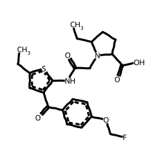 CCc1cc(C(=O)c2ccc(OCF)cc2)c(NC(=O)CN2C(CC)CCC2C(=O)O)s1